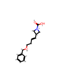 O=C(O)N1CC(C=CCCOCc2ccccc2)C1